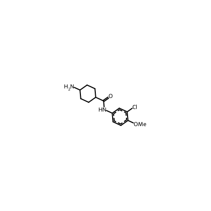 COc1ccc(NC(=O)C2CCC(N)CC2)cc1Cl